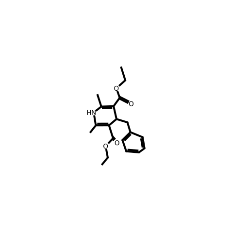 CCOC(=O)C1=C(C)NC(C)=C(C(=O)OCC)C1Cc1ccccc1